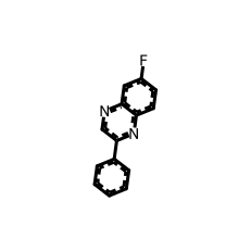 Fc1ccc2nc(-c3ccccc3)cnc2c1